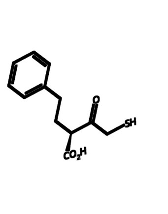 O=C(O)[C@@H](CCc1ccccc1)C(=O)CS